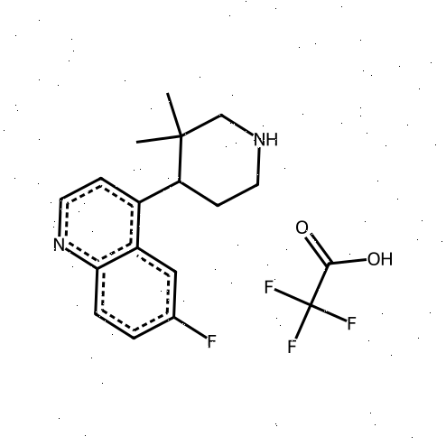 CC1(C)CNCCC1c1ccnc2ccc(F)cc12.O=C(O)C(F)(F)F